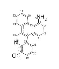 Nc1cccc(-c2c(-c3ccccc3)cnc3c(Cl)cccc23)c1